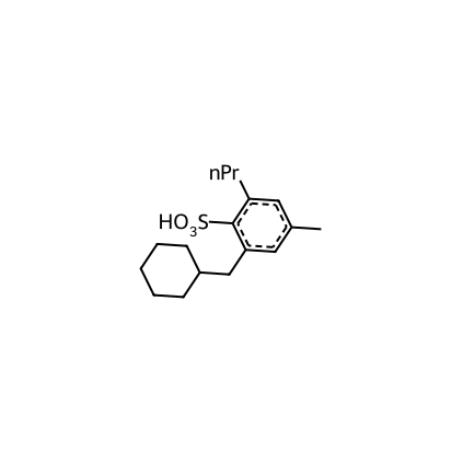 CCCc1cc(C)cc(CC2CCCCC2)c1S(=O)(=O)O